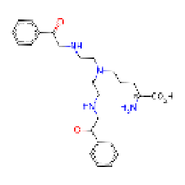 N[C@@H](CCCN(CCNCC(=O)c1ccccc1)CCNCC(=O)c1ccccc1)C(=O)O